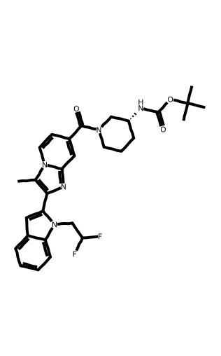 Cc1c(-c2cc3ccccc3n2CC(F)F)nc2cc(C(=O)N3CCC[C@@H](NC(=O)OC(C)(C)C)C3)ccn12